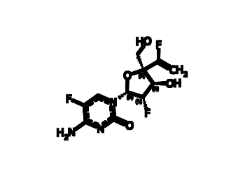 C=C(F)[C@]1(CO)O[C@@H](n2cc(F)c(N)nc2=O)[C@@H](F)[C@@H]1O